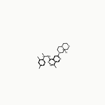 Cc1ccc([C@@H](C)Nc2nnc(C)c3cnc(N4CCN5CCOC[C@@H]5C4)cc23)c(C)c1